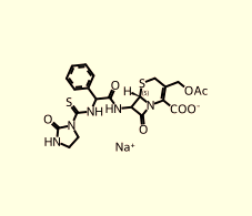 CC(=O)OCC1=C(C(=O)[O-])N2C(=O)C(NC(=O)C(NC(=S)N3CCNC3=O)c3ccccc3)[C@@H]2SC1.[Na+]